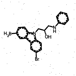 Bc1ccc2c(c1)c1cc(Br)ccc1n2CC(O)CNc1ccccc1